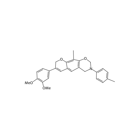 COc1ccc(C2=Cc3cc4c(c(C)c3OC2)OCN(c2ccc(C)cc2)C4)cc1OC